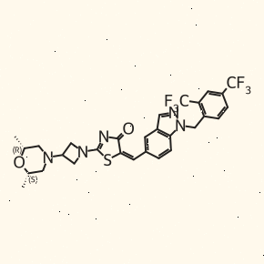 C[C@@H]1CN(C2CN(C3=NC(=O)C(=Cc4ccc5c(cnn5Cc5ccc(C(F)(F)F)cc5C(F)(F)F)c4)S3)C2)C[C@H](C)O1